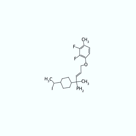 Cc1ccc(OCC=CC(C)(P)C2CCC(C(C)I)CC2)c(F)c1F